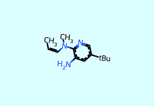 C/C=C\N(C)c1ncc(C(C)(C)C)cc1N